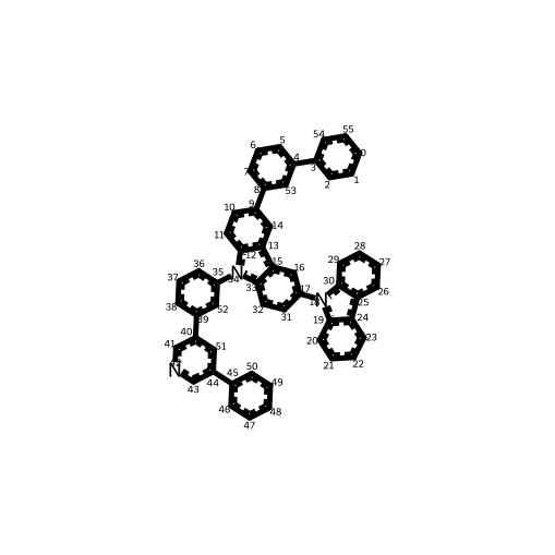 c1ccc(-c2cccc(-c3ccc4c(c3)c3cc(-n5c6ccccc6c6ccccc65)ccc3n4-c3cccc(-c4cncc(-c5ccccc5)c4)c3)c2)cc1